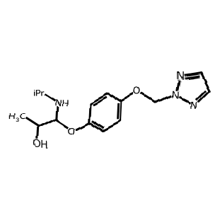 CC(C)NC(Oc1ccc(OCn2nccn2)cc1)C(C)O